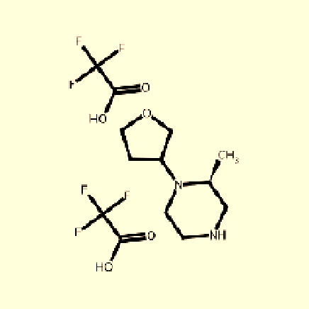 C[C@H]1CNCCN1C1CCOC1.O=C(O)C(F)(F)F.O=C(O)C(F)(F)F